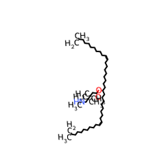 C=C(C)CCCCCCCC/C=C\CCCCCCCCC(CCCCCCCC/C=C\CCCCCCCCC(=C)C)OC(=O)CC(C)(C)C(C)(C)CNC